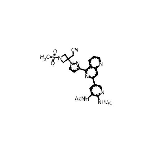 CC(=O)Nc1cc(-c2cc3ncccc3c(-c3ccn(C4(CC#N)CN(S(C)(=O)=O)C4)n3)n2)cnc1NC(C)=O